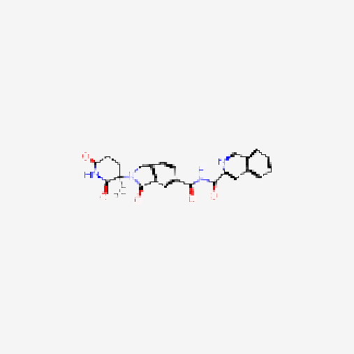 C[C@]1(N2Cc3ccc(C(=O)NC(=O)c4cc5ccccc5cn4)cc3C2=O)CCC(=O)NC1=O